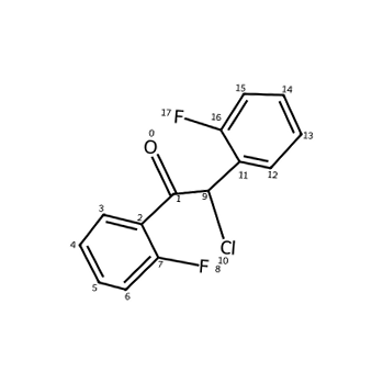 O=C(c1ccccc1F)C(Cl)c1ccccc1F